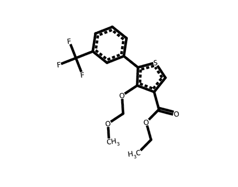 CCOC(=O)c1csc(-c2cccc(C(F)(F)F)c2)c1OCOC